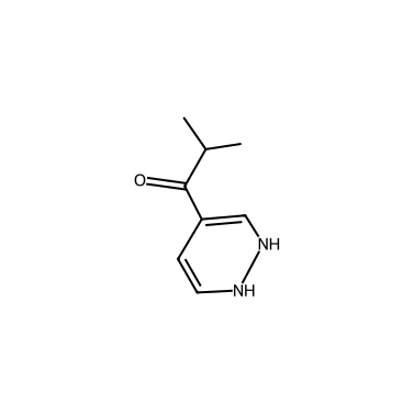 CC(C)C(=O)C1=CNNC=C1